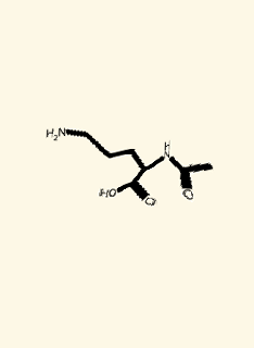 CC(=O)NC(CCCN)C(=O)O